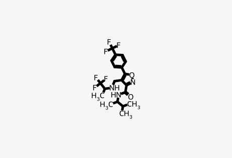 CC(C)C(C)NC(=O)c1noc(-c2ccc(C(F)(F)F)cc2)c1CNC(C)C(F)(F)F